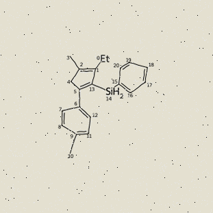 CCC1=C(C)CC(c2ccc(C)cc2)=C1[SiH2]c1ccccc1